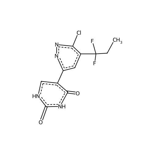 CCC(F)(F)c1cc(-c2c[nH]c(=O)[nH]c2=O)nnc1Cl